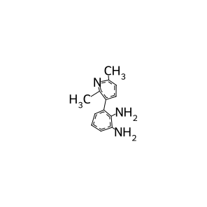 Cc1ccc(-c2cccc(N)c2N)c(C)n1